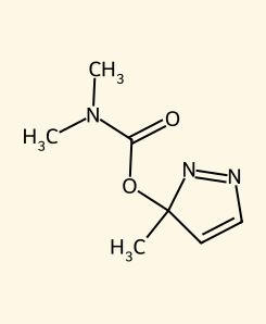 CN(C)C(=O)OC1(C)C=CN=N1